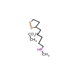 CC(=O)O.CPCCCCCC1CCSS1